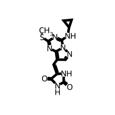 CSc1nc(NC2CC2)n2ncc(C=C3NC(=O)NC3=O)c2n1